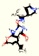 CCc1cc(=O)oc2nc(O/N=C(\C)c3ccncc3)[nH]c(=O)c12